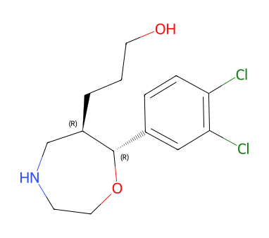 OCCC[C@@H]1CNCCO[C@H]1c1ccc(Cl)c(Cl)c1